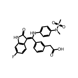 CN(c1ccc(N/C(=C2\C(=O)Nc3cc(F)ccc32)c2cccc(CC(=O)O)c2)cc1)S(C)(=O)=O